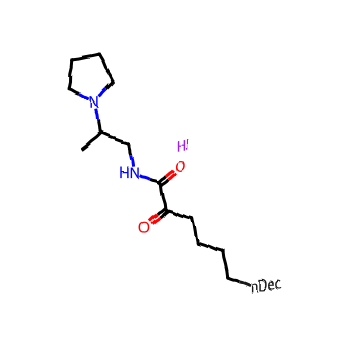 CCCCCCCCCCCCCCC(=O)C(=O)NCC(C)N1CCCC1.I